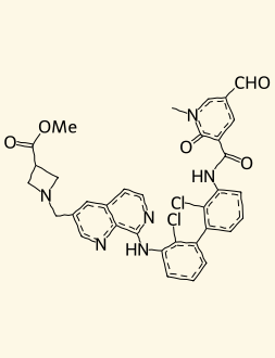 COC(=O)C1CN(Cc2cnc3c(Nc4cccc(-c5cccc(NC(=O)c6cc(C=O)cn(C)c6=O)c5Cl)c4Cl)nccc3c2)C1